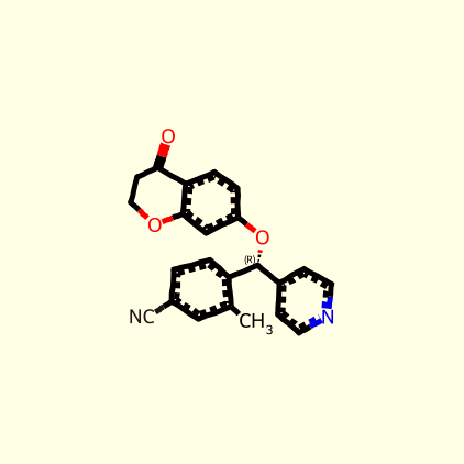 Cc1cc(C#N)ccc1[C@H](Oc1ccc2c(c1)OCCC2=O)c1ccncc1